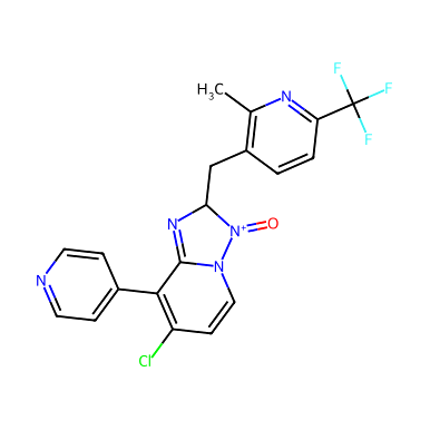 Cc1nc(C(F)(F)F)ccc1CC1N=C2C(c3ccncc3)=C(Cl)C=CN2[N+]1=O